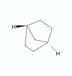 C1C[C@H]2CC[C@H]1C2